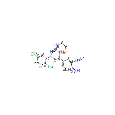 C/C=C(\C=C(\C#N)C=N)c1cc(-c2cc(Cl)ccc2F)nc2c1OCCN2